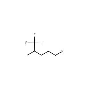 CC(CCCF)C(F)(F)F